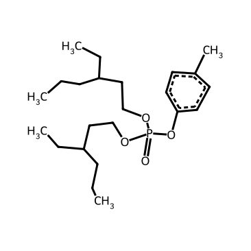 CCCC(CC)CCOP(=O)(OCCC(CC)CCC)Oc1ccc(C)cc1